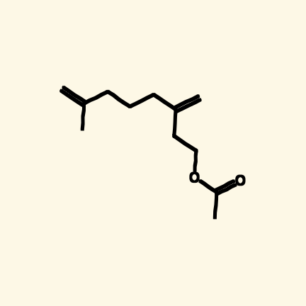 C=C(C)CCCC(=C)CCOC(C)=O